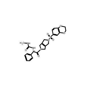 CNC(=O)N[C@H](C(=O)N1CC2=C(C1)CN(S(=O)(=O)c1ccc3c(c1)OCCO3)C2)c1ccccc1